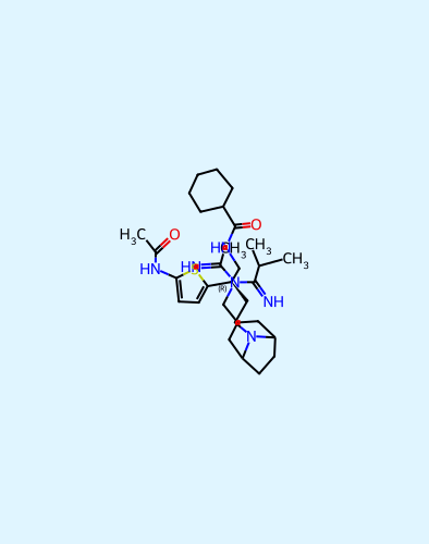 CC(=N)N(CC1CC2CCC(C1)N2CC[C@H](CNC(=O)C1CCCCC1)c1ccc(NC(C)=O)s1)C(=N)C(C)C